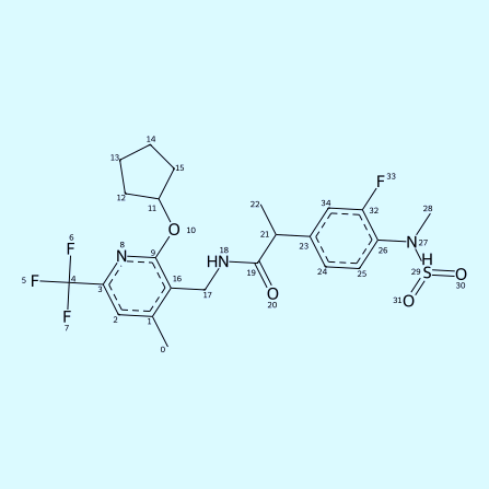 Cc1cc(C(F)(F)F)nc(OC2CCCC2)c1CNC(=O)C(C)c1ccc(N(C)[SH](=O)=O)c(F)c1